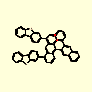 c1ccc(-c2cc3ccccc3cc2-c2c3cccc(-c4ccc5c(c4)oc4ccccc45)c3cc3c(-c4ccc5c(c4)oc4ccccc45)cccc23)cc1